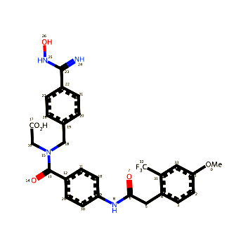 COc1ccc(CC(=O)Nc2ccc(C(=O)N(CC(=O)O)Cc3ccc(C(=N)NO)cc3)cc2)c(C(F)(F)F)c1